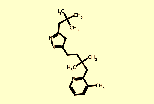 Cc1cccnc1CC(C)(C)CCC1=NN=C(CC(C)(C)C)C1